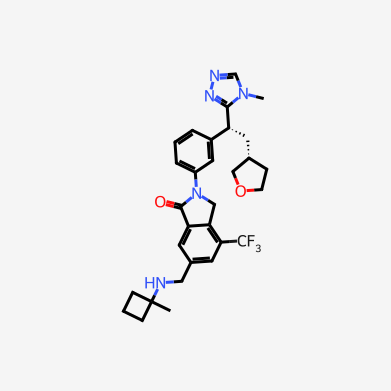 Cn1cnnc1[C@H](C[C@@H]1CCOC1)c1cccc(N2Cc3c(cc(CNC4(C)CCC4)cc3C(F)(F)F)C2=O)c1